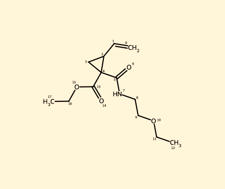 C=CC1CC1(C(=O)NCCOCC)C(=O)OCC